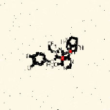 Cc1cc(N2C[C@H]3CC[C@@H](C2)C3Nc2nc(Oc3ccc(F)c(Cl)c3)n(CC(F)(F)F)n2)ncn1